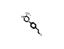 C[C@@H]1CN(c2ccc(CC=O)cc2)CCN1